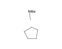 C1CCCC1.CNC